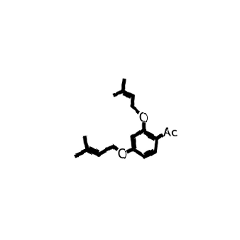 CC(=O)c1ccc(OCC=C(C)C)cc1OCC=C(C)C